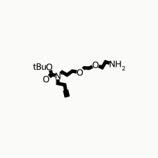 C#CCCN(CCCOCCOCCN)C(=O)OC(C)(C)C